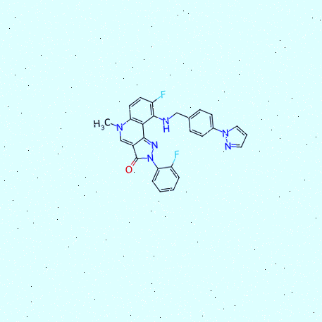 Cn1cc2c(=O)n(-c3ccccc3F)nc-2c2c(NCc3ccc(-n4cccn4)cc3)c(F)ccc21